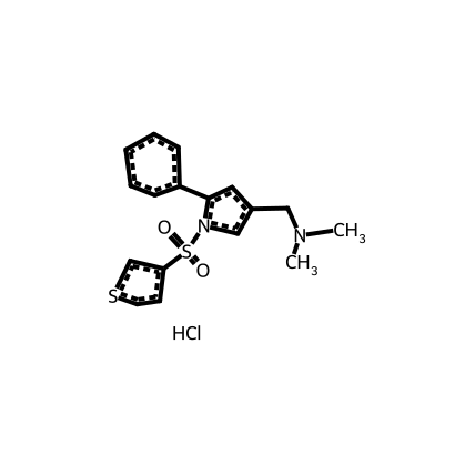 CN(C)Cc1cc(-c2ccccc2)n(S(=O)(=O)c2ccsc2)c1.Cl